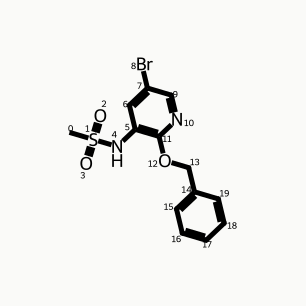 CS(=O)(=O)Nc1cc(Br)cnc1OCc1ccccc1